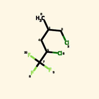 CC(CCl)CC(Cl)C(F)(F)F